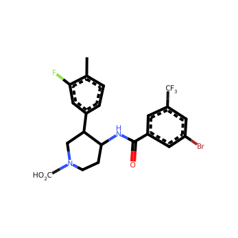 Cc1ccc(C2CN(C(=O)O)CCC2NC(=O)c2cc(Br)cc(C(F)(F)F)c2)cc1F